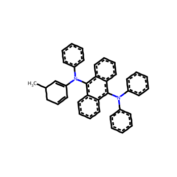 CC1C=C(N(c2ccccc2)c2c3ccccc3c(N(c3ccccc3)c3ccccc3)c3ccccc23)C=CC1